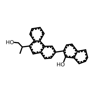 CC(CO)c1cc2ccc(-c3ccc4ccccc4c3O)cc2c2ccccc12